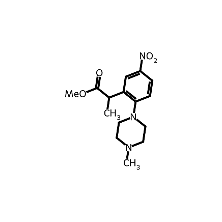 COC(=O)C(C)c1cc([N+](=O)[O-])ccc1N1CCN(C)CC1